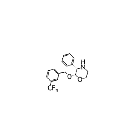 FC(F)(F)c1cccc(CO[C@H]2OCCN[C@H]2c2ccccc2)c1